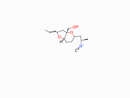 [C-]#[N+][C@H](C)CC1CC[C@@H]2O[C@@H](/C=C/C)C[C@]2(CO)O1